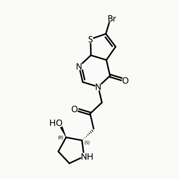 O=C(C[C@@H]1NCC[C@H]1O)CN1C=NC2SC(Br)=CC2C1=O